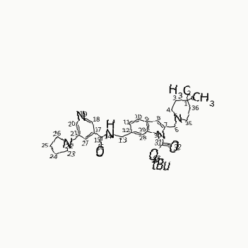 CC1(C)CCN(Cc2cc3ccc(CNC(=O)c4cncc(N5CCCC5)c4)cc3n2C(=O)OC(C)(C)C)CC1